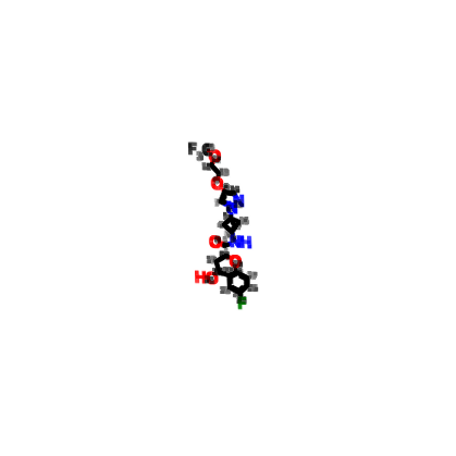 O=C(NC12CC(n3cc(OCCOC(F)(F)F)cn3)(C1)C2)[C@H]1C[C@@H](O)c2cc(F)ccc2O1